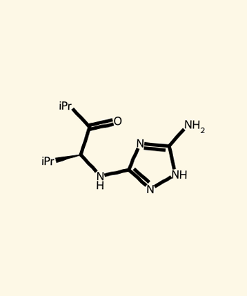 CC(C)C(=O)[C@@H](Nc1n[nH]c(N)n1)C(C)C